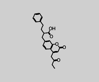 CCC(=O)Cc1cc(=O)oc2cc(CC(CCc3ccccc3)C(=O)O)ccc12